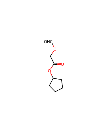 O=COCC(=O)OC1CCCC1